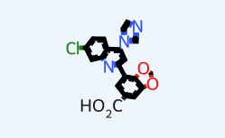 O=C(O)c1cc2c(c(-c3cc(-n4ccnc4)c4ccc(Cl)cc4n3)c1)OCO2